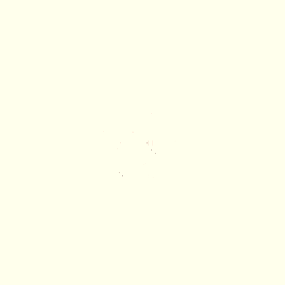 NCC(=O)NCC(=O)O.O=C(O)CC(O)(CC(=O)O)C(=O)O